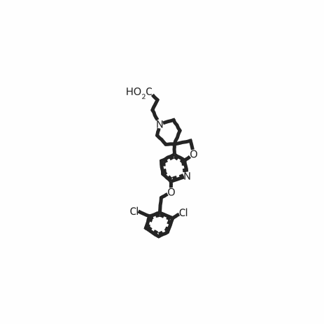 O=C(O)CCN1CCC2(CC1)COc1nc(OCc3c(Cl)cccc3Cl)ccc12